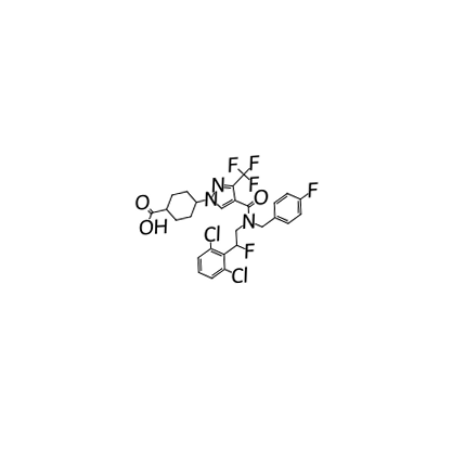 O=C(O)C1CCC(n2cc(C(=O)N(Cc3ccc(F)cc3)CC(F)c3c(Cl)cccc3Cl)c(C(F)(F)F)n2)CC1